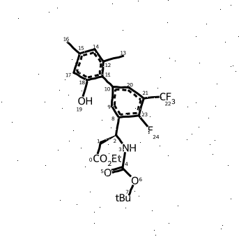 CCOC(=O)C[C@H](NC(=O)OC(C)(C)C)c1cc(-c2c(C)cc(C)cc2O)cc(C(F)(F)F)c1F